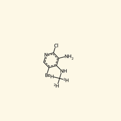 [2H]C([2H])([2H])Nc1c(Br)cnc(Cl)c1N